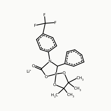 CC1(C)O[B-]2(OC(=O)N(c3ccc(C(F)(F)F)cc3)C2c2ccccc2)OC1(C)C.[Li+]